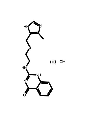 Cc1nc[nH]c1CSCCNc1nc(=O)c2ccccc2[nH]1.Cl.Cl